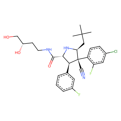 CC(C)(C)C[C@@H]1N[C@@H](C(=O)NCC[C@H](O)CO)[C@H](c2cccc(F)c2)[C@@]1(C#N)c1ccc(Cl)cc1F